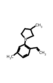 C=Cc1ccc(C)cc1N1CCC(C)C1